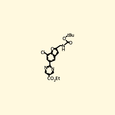 CCOC(=O)c1cnc(-c2cc(Cl)c3oc(CNC(=O)OC(C)(C)C)cc3c2)nc1